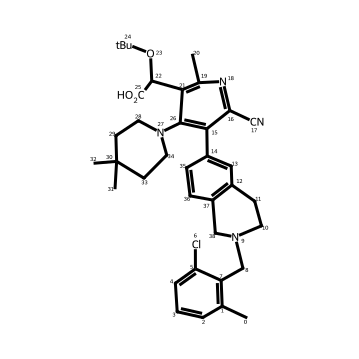 Cc1cccc(Cl)c1CN1CCc2cc(-c3c(C#N)nc(C)c(C(OC(C)(C)C)C(=O)O)c3N3CCC(C)(C)CC3)ccc2C1